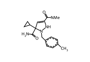 CNC(=O)C1=CC(C(N)=O)(C2CC2)N(Cc2ccc(C)cc2)N1